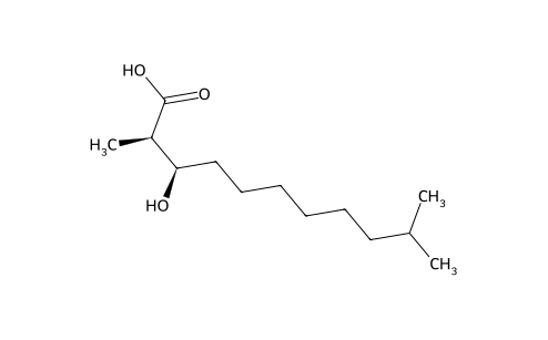 CC(C)CCCCCC[C@@H](O)[C@@H](C)C(=O)O